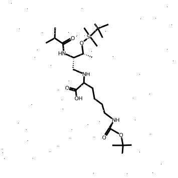 CC(C)C(=O)N[C@@H](CNC(CCCCNC(=O)OC(C)(C)C)C(=O)O)[C@@H](C)O[Si](C)(C)C(C)(C)C